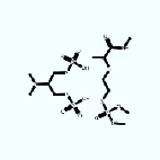 CN(C)C(CSS(=O)(=O)O)CSS(=O)(=O)O.CNC(=O)C(C)SCCSP(=O)(OC)OC